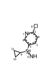 N=[S@](c1ccc(Cl)nc1)C1CC1